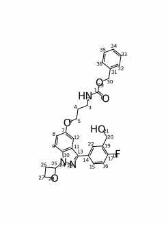 O=C(NCCCOc1ccc2c(c1)c(-c1ccc(F)c(CO)c1)nn2C1CCO1)OCc1ccccc1